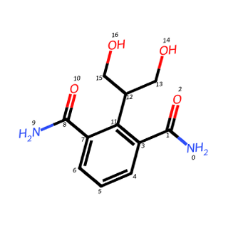 NC(=O)c1cccc(C(N)=O)c1C(CO)CO